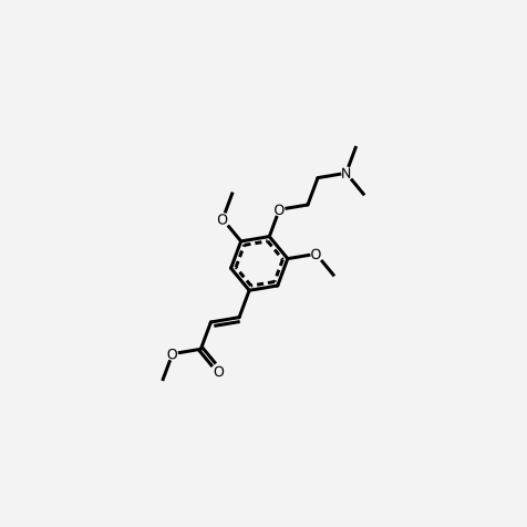 COC(=O)/C=C/c1cc(OC)c(OCCN(C)C)c(OC)c1